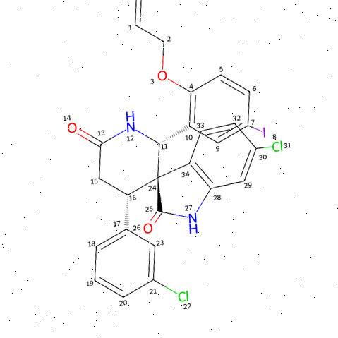 C=CCOc1ccc(I)cc1[C@H]1NC(=O)C[C@@H](c2cccc(Cl)c2)[C@]12C(=O)Nc1cc(Cl)ccc12